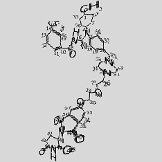 CC1CCC(n2c(NC(=O)c3cccc(C(F)(F)F)c3)nc3cc(CN4CCN(CCOCCOc5ccc6c(c5)C(=O)N(C5CCC(=O)NC5=O)C6=O)CC4)ccc32)CC1